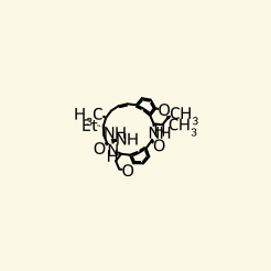 CC[C@@]12CC(=O)N(C(=N)N1)[C@@H]1CCOc3ccc(cc31)C(=O)N[C@H]1CC(C)(C)Oc3ccc(cc31)/C=C\CC2C